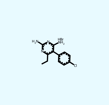 Br.CCc1nc(N)nc(N)c1-c1ccc(Cl)cc1